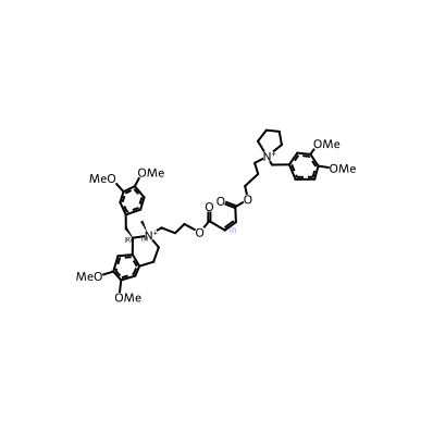 COc1ccc(C[C@@H]2c3cc(OC)c(OC)cc3CC[N@@+]2(C)CCCOC(=O)/C=C\C(=O)OCCC[N+]2(Cc3ccc(OC)c(OC)c3)CCCC2)cc1OC